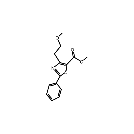 COCCc1nc(-c2ccccc2)sc1C(=O)OC